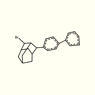 BrC1C2CC3CC(C2)C(c2ccc(-c4ccccc4)cc2)C1C3